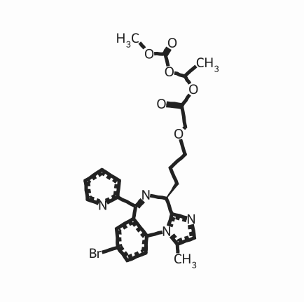 COC(=O)OC(C)OC(=O)COCCC[C@@H]1N=C(c2ccccn2)c2cc(Br)ccc2-n2c(C)cnc21